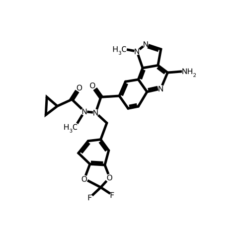 CN(C(=O)C1CC1)N(Cc1ccc2c(c1)OC(F)(F)O2)C(=O)c1ccc2nc(N)c3cnn(C)c3c2c1